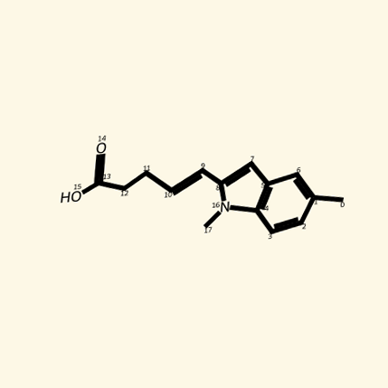 Cc1ccc2c(c1)cc(/C=C/CCC(=O)O)n2C